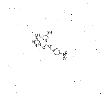 Cn1nnnc1[C@@H]1C[C@H](S)CN1C(=O)OCc1ccc([N+](=O)[O-])cc1